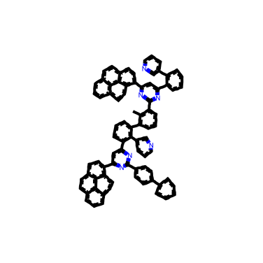 Cc1c(-c2nc(-c3ccccc3-c3cccnc3)cc(-c3ccc4ccc5cccc6ccc3c4c56)n2)cccc1-c1cccc(-c2cc(-c3ccc4ccc5cccc6ccc3c4c56)nc(-c3ccc(-c4ccccc4)cc3)n2)c1-c1cccnc1